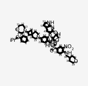 CC(C)Oc1ccccc1[C@@H]1COCCCN1C1CC2(CCN(c3ccc(C(=O)NS(=O)(=O)c4ccc(NCC5CCOCC5)c([N+](=O)[O-])c4)c(N4c5cc6cc[nH]c6nc5O[C@@H]5COC[C@H]54)c3)CC2)C1